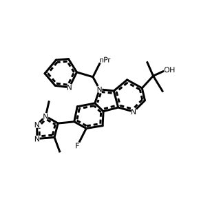 CCCC(c1ccccn1)n1c2cc(-c3c(C)nnn3C)c(F)cc2c2ncc(C(C)(C)O)cc21